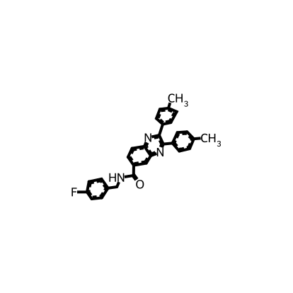 Cc1ccc(-c2nc3ccc(C(=O)NCc4ccc(F)cc4)cc3nc2-c2ccc(C)cc2)cc1